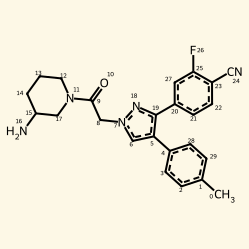 Cc1ccc(-c2cn(CC(=O)N3CCCC(N)C3)nc2-c2ccc(C#N)c(F)c2)cc1